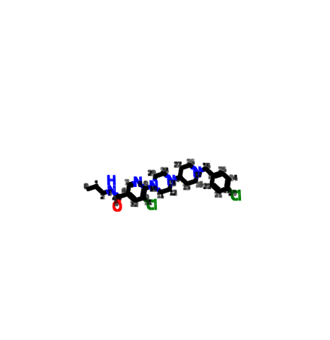 CCCNC(=O)c1cnc(N2CCN(C3CCN(Cc4ccc(Cl)cc4)CC3)CC2)c(Cl)c1